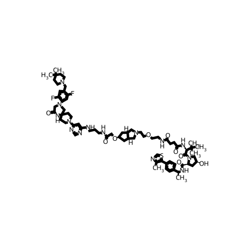 Cc1ncsc1-c1ccc([C@H](C)NC(=O)[C@@H]2C[C@@H](O)CN2C(=O)[C@@H](NC(=O)CCC(=O)NCCOCCN2C[C@H]3C[C@@H](OCC(=O)NCCCNc4cc(N5CCC6(CC5)CN(c5cc(F)c(CN7CCC(C)(C)CC7)cc5F)CC(=O)N6)ncn4)C[C@H]3C2)C(C)(C)C)cc1